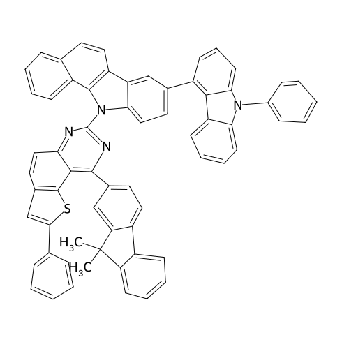 CC1(C)c2ccccc2-c2ccc(-c3nc(-n4c5ccc(-c6cccc7c6c6ccccc6n7-c6ccccc6)cc5c5ccc6ccccc6c54)nc4ccc5cc(-c6ccccc6)sc5c34)cc21